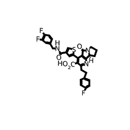 O=C(NCc1ccc(F)c(F)c1)c1csc(-c2c(C(=O)O)c(CCc3ccc(F)cc3)nc3c2C(=O)N2CCC[C@@H]32)c1